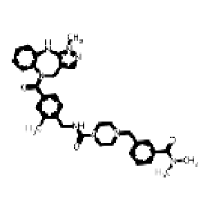 Cc1cc(C(=O)N2Cc3cnn(C)c3Nc3ccccc32)ccc1CNC(=O)N1CCN(Cc2cccc(C(=O)N(C)C)c2)CC1